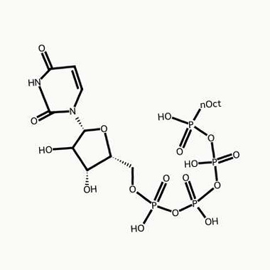 CCCCCCCCP(=O)(O)OP(=O)(O)OP(=O)(O)OP(=O)(O)OC[C@H]1O[C@@H](n2ccc(=O)[nH]c2=O)C(O)[C@H]1O